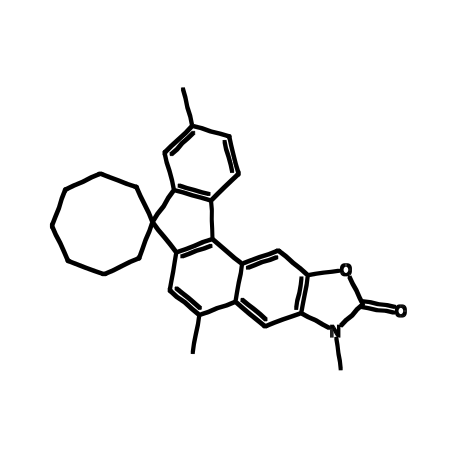 Cc1ccc2c(c1)C1(CCCCCCC1)c1cc(C)c3cc4c(cc3c1-2)oc(=O)n4C